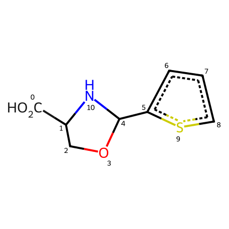 O=C(O)C1COC(c2cccs2)N1